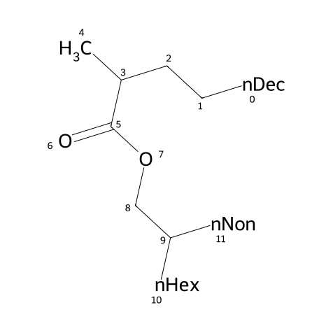 CCCCCCCCCCCCC(C)C(=O)OCC(CCCCCC)CCCCCCCCC